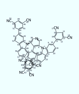 N#Cc1ccc(-c2c(-n3c4cc(-c5cc(C#N)cc(C#N)c5)ccc4c4ccc(-c5cc(C#N)cc(C#N)c5)cc43)cncc2-n2c3cc(-c4cc(C#N)cc(C#N)c4)ccc3c3ccc(-c4cc(C#N)cc(C#N)c4)cc32)cc1